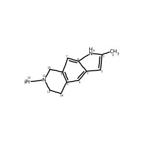 Cc1cc2cc3c(cc2[nH]1)CN(C(C)C)CC3